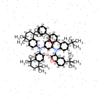 Cc1cc2c3c(c1)N(c1ccc(C(C)(C)C)cc1-c1ccc(-c4ccccc4)cc1)c1c(oc4ccc(C(C)(C)C)cc14)B3c1cc3c(cc1N2c1ccc2c(c1)C(C)(C)CCC2(C)C)C(C)(C)CCC3(C)C